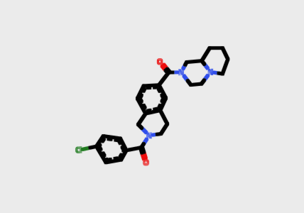 O=C(c1ccc(Cl)cc1)N1CCc2cc(C(=O)N3CCN4CCCCC4C3)ccc2C1